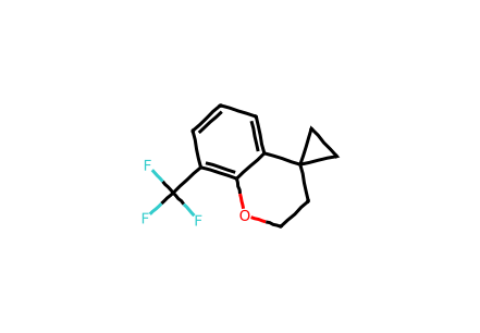 FC(F)(F)c1cccc2c1OCCC21CC1